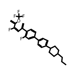 C=C(OC(F)(F)F)/C(F)=C\C(=C)c1ccc(-c2ccc(C3CCC(CCC)CC3)cc2)cc1F